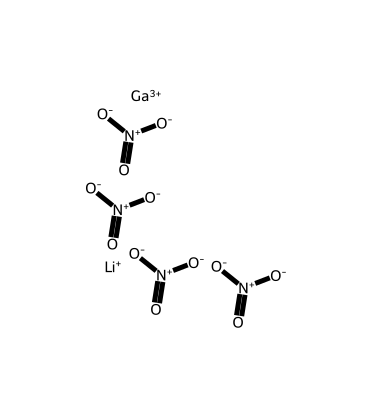 O=[N+]([O-])[O-].O=[N+]([O-])[O-].O=[N+]([O-])[O-].O=[N+]([O-])[O-].[Ga+3].[Li+]